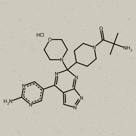 CC(C)(N)C(=O)N1CCC(C2(N3CCOCC3)N=C3N=NC=C3C(c3cnc(N)nc3)=N2)CC1.Cl